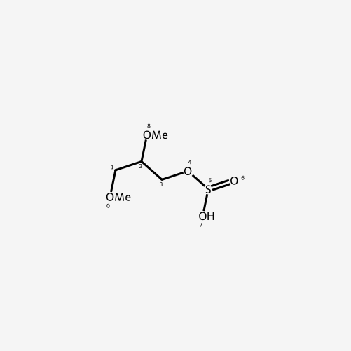 COCC(COS(=O)O)OC